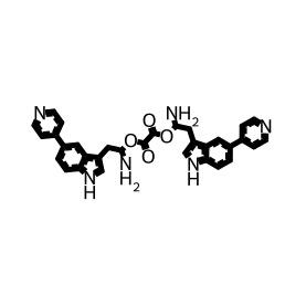 NC(Cc1c[nH]c2ccc(-c3ccncc3)cc12)OC(=O)C(=O)OC(N)Cc1c[nH]c2ccc(-c3ccncc3)cc12